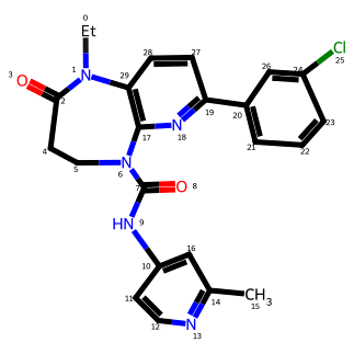 CCN1C(=O)CCN(C(=O)Nc2ccnc(C)c2)c2nc(-c3cccc(Cl)c3)ccc21